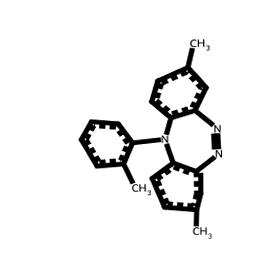 Cc1ccc2c(c1)N=Nc1cc(C)ccc1N2c1ccccc1C